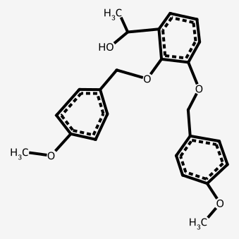 COc1ccc(COc2cccc(C(C)O)c2OCc2ccc(OC)cc2)cc1